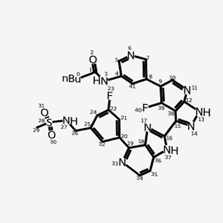 CCCCC(=O)Nc1cncc(-c2cnc3[nH]nc(-c4nc5c(-c6cc(F)cc(CNS(C)(=O)=O)c6)nccc5[nH]4)c3c2F)c1